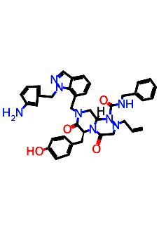 C=CCN1CC(=O)N2[C@@H](Cc3ccc(O)cc3)C(=O)N(Cc3cccc4cnn(Cc5cccc(N)c5)c34)C[C@@H]2N1C(=O)NCc1ccccc1